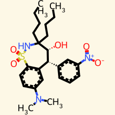 CCCCC1(CCCC)NS(=O)(=O)c2ccc(N(C)C)cc2[C@@H](c2cccc([N+](=O)[O-])c2)[C@H]1O